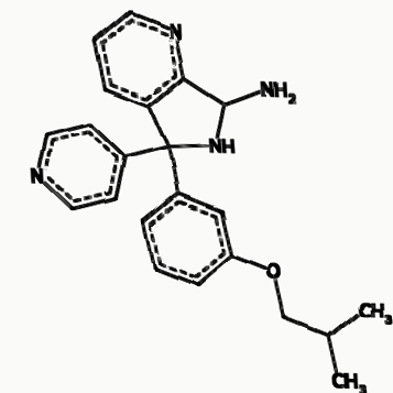 CC(C)COc1cccc(C2(c3ccncc3)NC(N)c3ncccc32)c1